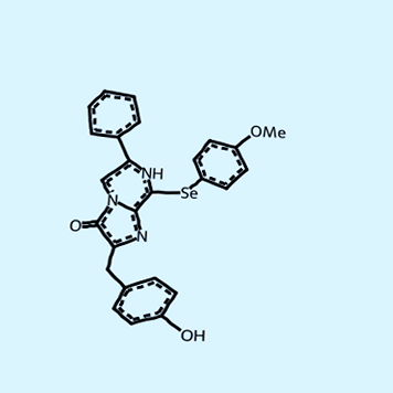 COc1ccc([Se]c2[nH]c(-c3ccccc3)cn3c(=O)c(Cc4ccc(O)cc4)nc2-3)cc1